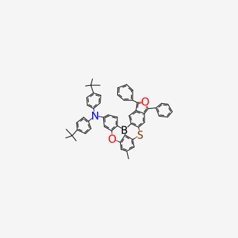 Cc1cc2c3c(c1)Sc1cc4c(-c5ccccc5)oc(-c5ccccc5)c4cc1B3c1ccc(N(c3ccc(C(C)(C)C)cc3)c3ccc(C(C)(C)C)cc3)cc1O2